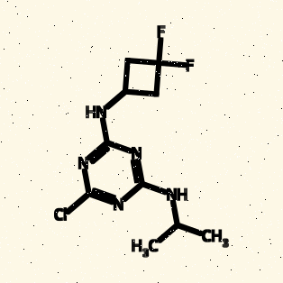 CC(C)Nc1nc(Cl)nc(NC2CC(F)(F)C2)n1